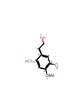 COc1ccc(CCO)cc1Cl.Cl